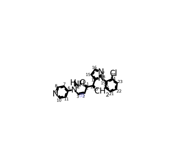 C=C(/C=C\N(N)c1ccncc1)C(=C)c1ccnn1-c1ccccc1Cl